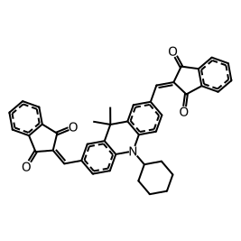 CC1(C)c2cc(C=C3C(=O)c4ccccc4C3=O)ccc2N(C2CCCCC2)c2ccc(C=C3C(=O)c4ccccc4C3=O)cc21